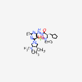 CCc1nc(NNC(=O)[C@H](CC2CCCC2)CN(O)C=O)c(F)c(N2C[C@@H](C)[C@H](N(C)C)C2)n1